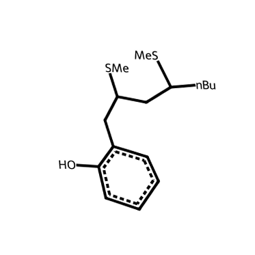 CCCCC(CC(Cc1ccccc1O)SC)SC